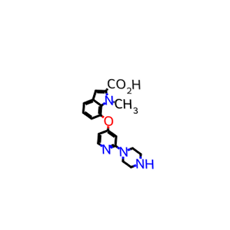 Cn1c(C(=O)O)cc2cccc(Oc3ccnc(N4CCNCC4)c3)c21